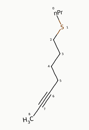 [CH2]CCSCCCCC#CC